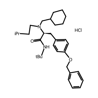 CC(C)CCN(CC1CCCCC1)[C@@H](Cc1ccc(OCc2ccccc2)cc1)C(=O)NC(C)(C)C.Cl